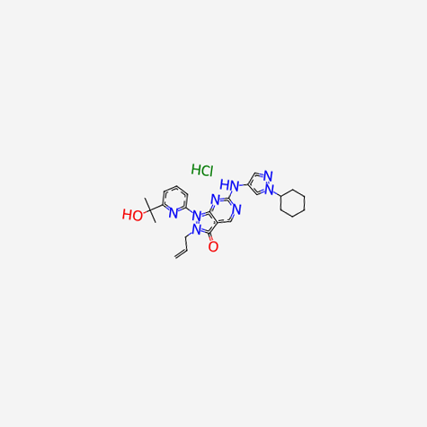 C=CCn1c(=O)c2cnc(Nc3cnn(C4CCCCC4)c3)nc2n1-c1cccc(C(C)(C)O)n1.Cl